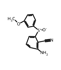 COc1cccc([S+]([O-])c2cccc(N)c2C#N)c1